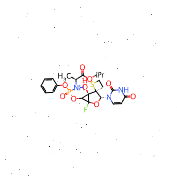 CC(C)OC(=O)[C@H](C)NP(=O)(Oc1ccccc1)OC1[C@]2(O)[C@]3(CCS3)[C@H](n3ccc(=O)[nH]c3=O)O[C@]12F